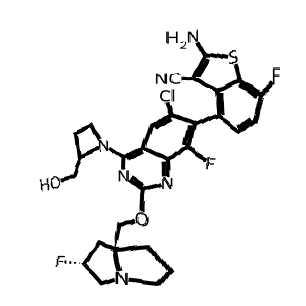 N#Cc1c(N)sc2c(F)ccc(-c3c(Cl)cc4c(N5CCC5CO)nc(OC[C@@]56CCCN5C[C@H](F)C6)nc4c3F)c12